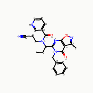 CCC(c1nc2onc(C)c2c(=O)n1Cc1ccccc1)N(CCC#N)C(=O)c1cccnc1